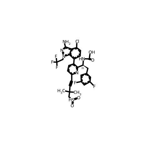 CC(C)(C#Cc1ccc(-c2ccc(Cl)c3c(N)nn(CC(F)(F)F)c23)c([C@H](Cc2cc(F)cc(F)c2)NC(=O)O)n1)C[SH](=O)=O